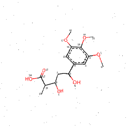 COc1cc(C(O)CC(O)C(C)C(=O)O)cc(OC)c1OC